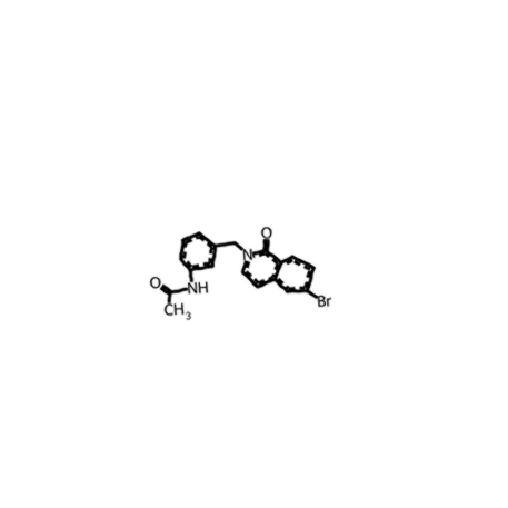 CC(=O)Nc1cccc(Cn2ccc3cc(Br)ccc3c2=O)c1